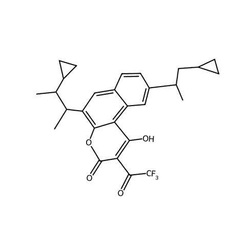 CC(CC1CC1)c1ccc2cc(C(C)C(C)C3CC3)c3oc(=O)c(C(=O)C(F)(F)F)c(O)c3c2c1